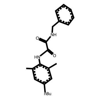 CCCCc1cc(C)c(NC(=O)C(=O)NCc2ccccc2)c(C)c1